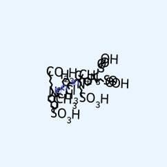 CC1(C)C(/C=C/C2=C(Cl)C(=C/C=C3/N(CCCCCC(=O)O)c4ccc5cc(S(=O)(=O)O)ccc5c4C3(C)C)/CCC2)=[N+](CCCS(=O)(=O)O)c2ccc(N(CCCSOOO)CCCSOOO)cc21